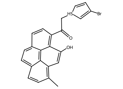 Cc1ccc2ccc3ccc(C(=O)C[SH]4C=CC(Br)=C4)c4c(O)cc1c2c34